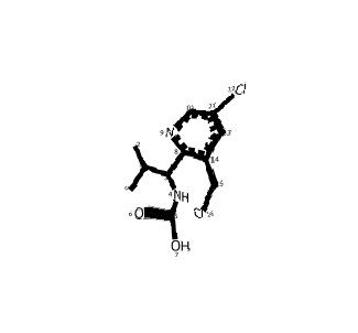 CC(C)C(NC(=O)O)c1ncc(Cl)cc1CCl